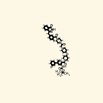 CC(C)(C)OC(=O)Nc1cc(-c2cccc(F)c2)cnc1C(=O)N1CCC(OC2CCN(CC(=O)N3CCN(C(=O)c4cc(Cc5n[nH]c(=O)c6ccccc56)ccc4F)CC3)CC2)CC1